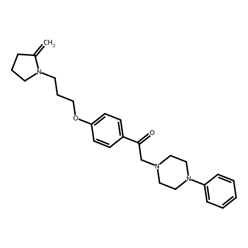 C=C1CCCN1CCCOc1ccc(C(=O)CN2CCN(c3ccccc3)CC2)cc1